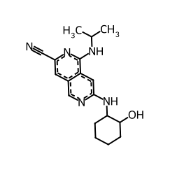 CC(C)Nc1nc(C#N)cc2cnc(NC3CCCCC3O)cc12